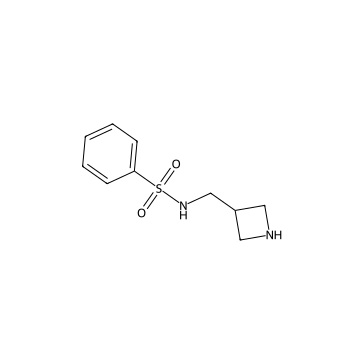 O=S(=O)(NCC1CNC1)c1ccccc1